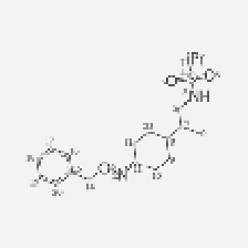 CC(CNS(=O)(=O)C(C)C)C1CCC(=NOCc2ccccc2)CC1